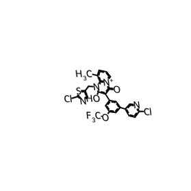 Cc1ccc[n+]2c(=O)c(-c3cc(OC(F)(F)F)cc(-c4ccc(Cl)nc4)c3)c(O)n(Cc3cnc(Cl)s3)c12